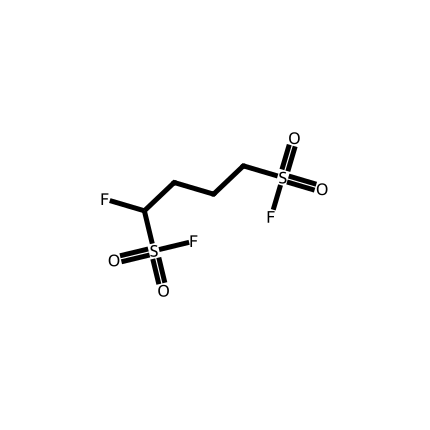 O=S(=O)(F)CCCC(F)S(=O)(=O)F